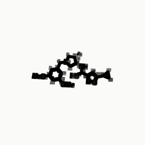 COc1cc(CN2C[C@H](C)[C@H](NC(O)c3cc(C4CC4)on3)C2)cc(OC)c1